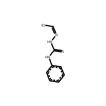 CC/[C]=N\NC(=S)Nc1ccccc1